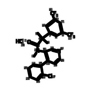 CN(C(=O)C(C)(C)c1cc(C(F)(F)F)cc(C(F)(F)F)c1)c1cnccc1-c1ccccc1Cl.Cl